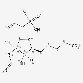 C=CCP(=O)(O)O.O=C(O)CCCC[C@@H]1SC[C@@H]2NC(=O)N[C@@H]21